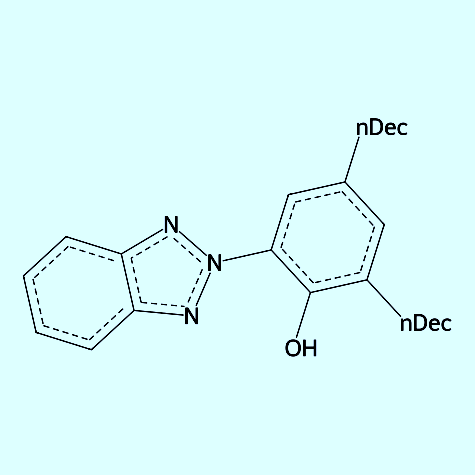 CCCCCCCCCCc1cc(CCCCCCCCCC)c(O)c(-n2nc3ccccc3n2)c1